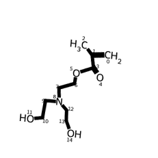 C=C(C)C(=O)OCCN(CCO)CCO